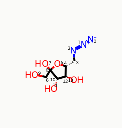 [N-]=[N+]=NC[C@H]1OC(O)(CO)[C@@H](O)[C@@H]1O